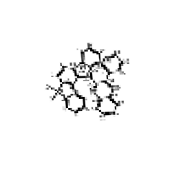 CC1(C)c2ccccc2-c2c1ccc1c3ccccc3n(-c3nc4ccccc4cc3-c3ccccc3)c21